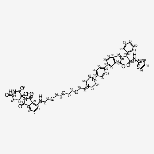 CC1(N2C(=O)c3cccc(NCCOCCOCCOCCN4CCN(c5ccc(-c6ccc7c(c6)C(=O)N(C(C(=O)Nc6nccs6)c6ccccc6)C7)cc5)CC4)c3C2=O)CCC(=O)NC1=O